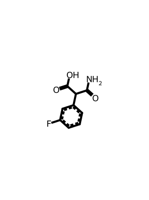 NC(=O)C(C(=O)O)c1cccc(F)c1